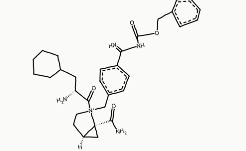 N=C(NC(=O)OCc1ccccc1)c1ccc(C[N+]2(C(=O)[C@H](N)CC3CCCCC3)CC[C@@H]3C[C@@]32C(N)=O)cc1